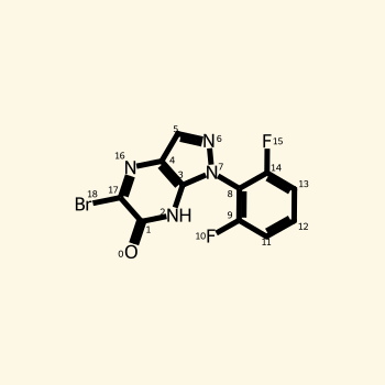 O=c1[nH]c2c(cnn2-c2c(F)cccc2F)nc1Br